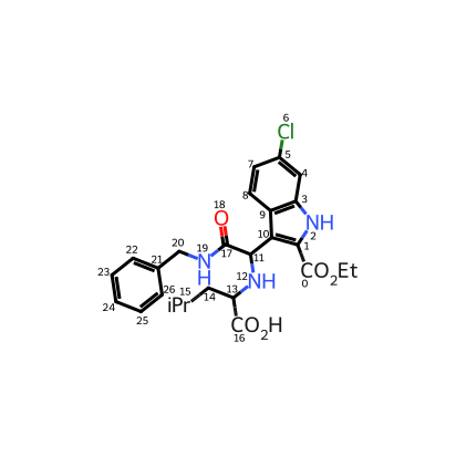 CCOC(=O)c1[nH]c2cc(Cl)ccc2c1C(NC(CC(C)C)C(=O)O)C(=O)NCc1ccccc1